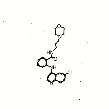 O=C(NCCCN1CCOCC1)c1ccccc1Nc1ccnc2ccc(Cl)cc12